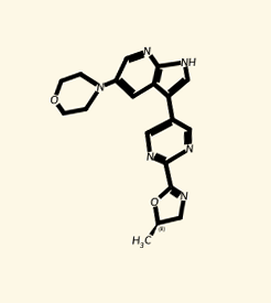 C[C@@H]1CN=C(c2ncc(-c3c[nH]c4ncc(N5CCOCC5)cc34)cn2)O1